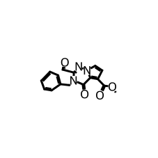 COC(=O)c1ccn2nc(C=O)n(Cc3ccccc3)c(=O)c12